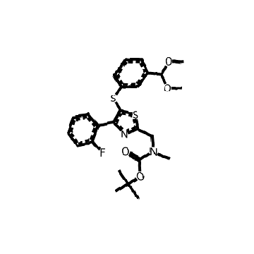 COC(OC)c1cccc(Sc2sc(CN(C)C(=O)OC(C)(C)C)nc2-c2ccccc2F)c1